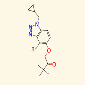 CC(C)(C)C(=O)COc1ccc2c(nnn2CC2CC2)c1Br